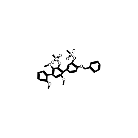 COc1ccccc1-c1cc(OC)c(-c2ccc(OCc3ccccc3)c(OS(C)(=O)=O)c2)c(OS(C)(=O)=O)c1OC